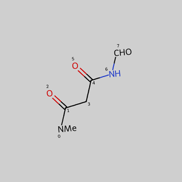 CNC(=O)CC(=O)NC=O